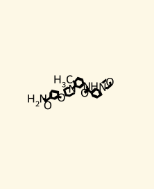 Cc1ccc(NC(=O)c2cccc(N3CCOCC3)c2)cc1N1CCC(Oc2cccc(C(N)=O)c2)CC1